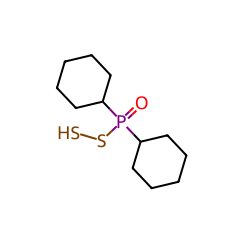 O=P(SS)(C1CCCCC1)C1CCCCC1